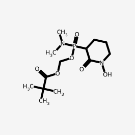 CN(C)P(=O)(OCOC(=O)C(C)(C)C)C1CCCN(O)C1=O